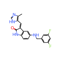 Cc1nc[nH]c1/C=C1\C(=O)Nc2ccc(NCc3cc(F)cc(F)c3)cc21